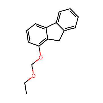 CCOCOc1cccc2c1Cc1ccccc1-2